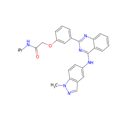 CC(C)NC(=O)COc1cccc(-c2nc(Nc3ccc4c(cnn4C)c3)c3ccccc3n2)c1